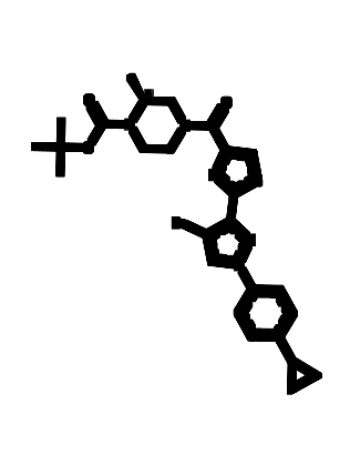 C[C@H]1CN(C(=O)c2csc(-c3nn(-c4ccc(C5CC5)cc4)cc3Br)n2)CCN1C(=O)OC(C)(C)C